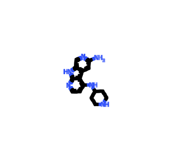 Nc1cc2c(cn1)[nH]c1nccc(NC3CCNCC3)c12